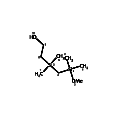 CO[Si](C)(C)C[Si](C)(C)CCO